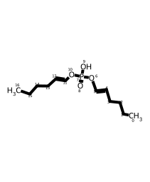 CCCCC=COP(=O)(O)OC=CCCCC